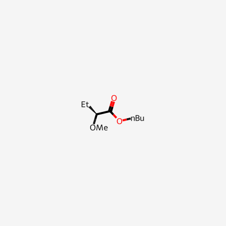 CCCCOC(=O)[C@H](CC)OC